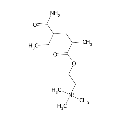 CCC(CC(C)C(=O)OCC[N+](C)(C)C)C(N)=O